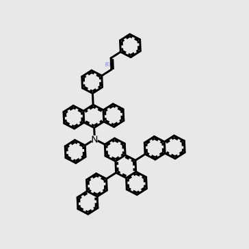 C(=C\c1cccc(-c2c3ccccc3c(N(c3ccccc3)c3ccc4c(-c5ccc6ccccc6c5)c5ccccc5c(-c5ccc6ccccc6c5)c4c3)c3ccccc23)c1)/c1ccccc1